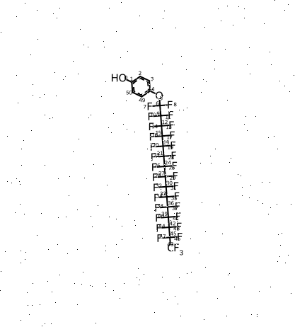 Oc1ccc(OC(F)(F)C(F)(F)C(F)(F)C(F)(F)C(F)(F)C(F)(F)C(F)(F)C(F)(F)C(F)(F)C(F)(F)C(F)(F)C(F)(F)C(F)(F)C(F)(F)C(F)(F)F)cc1